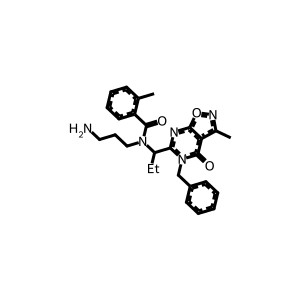 CCC(c1nc2onc(C)c2c(=O)n1Cc1ccccc1)N(CCCN)C(=O)c1ccccc1C